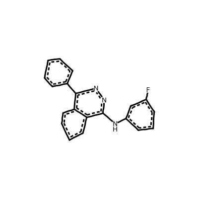 Fc1cccc(Nc2nnc(-c3ccccc3)c3ccccc23)c1